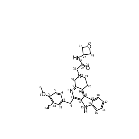 COc1ccc(Cc2nc3c(c4c2[nH]c2ccccc24)CCN(CC(=O)NC2COC2)C3)cc1F